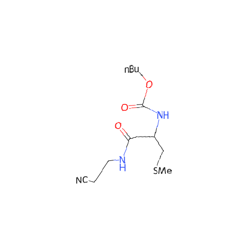 CCCCOC(=O)NC(CSC)C(=O)NCCC#N